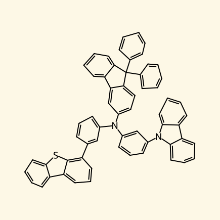 c1ccc(C2(c3ccccc3)c3ccccc3-c3cc(N(c4cccc(-c5cccc6c5sc5ccccc56)c4)c4cccc(-n5c6ccccc6c6ccccc65)c4)ccc32)cc1